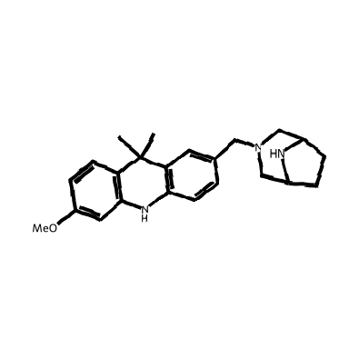 COc1ccc2c(c1)Nc1ccc(CN3CC4CCC(C3)N4)cc1C2(C)C